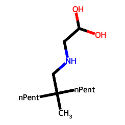 CCCCCC(C)(CCCCC)CNCC(O)O